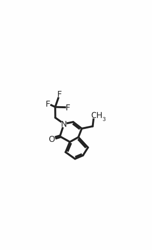 CCc1cn(CC(F)(F)F)c(=O)c2ccccc12